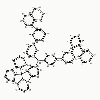 c1ccc(C2(c3ccccc3)c3ccccc3-c3ccc(N(c4ccc(-c5ccc6c7ccccc7c7ccccc7c6c5)cc4)c4cccc(-c5cccc(-c6cccc7ccccc67)c5)c4)cc32)cc1